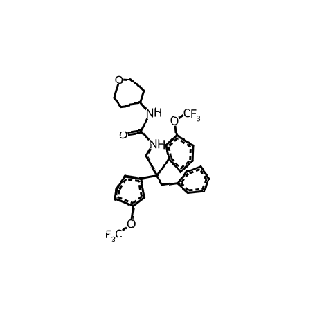 O=C(NCC(Cc1ccccc1)(c1cccc(OC(F)(F)F)c1)c1cccc(OC(F)(F)F)c1)NC1CCOCC1